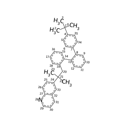 CC(C)(C)c1ccc(-c2ccccc2-c2ccccc2CC(C)(C)c2ccc3ncccc3c2)cc1